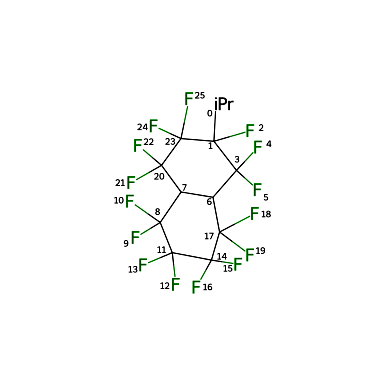 CC(C)C1(F)C(F)(F)C2C(C(F)(F)C(F)(F)C(F)(F)C2(F)F)C(F)(F)C1(F)F